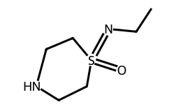 CCN=S1(=O)CCNCC1